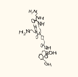 NCCNC(=O)NCCN(C(=O)NCCN)C1CC(CC(=O)N[C@H]2Cc3cccc(CO)c3OB2O)C1